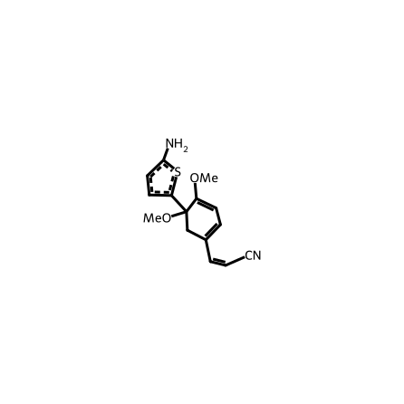 COC1=CC=C(/C=C\C#N)CC1(OC)c1ccc(N)s1